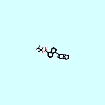 CC(C)C(C)(C)OC(=O)c1cccc2c(C3CC4CC3C3C5C=CC(C5)C43)cccc12